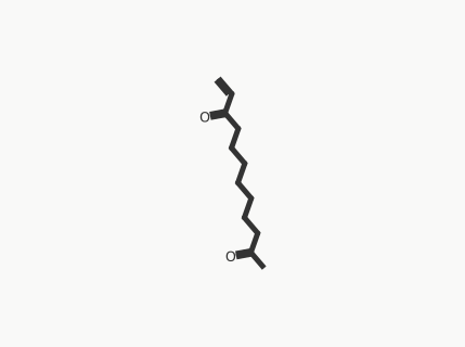 C=CC(=O)CCCCCCCC(C)=O